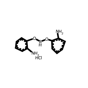 Cl.Nc1ccccc1OBOc1ccccc1N